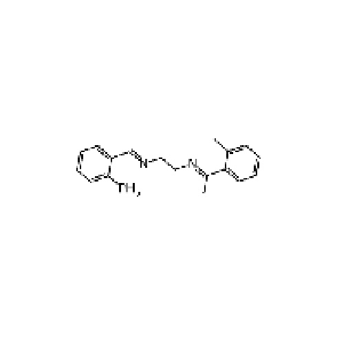 C/C(=N\CC/N=C/c1ccccc1P)c1ccccc1C